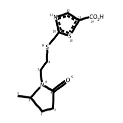 CC1CCC(=O)N1CCSc1ncc(C(=O)O)s1